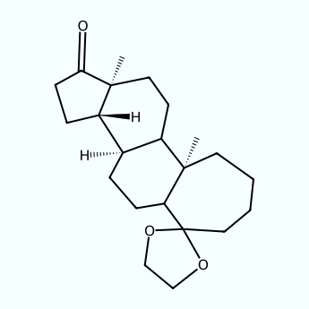 C[C@]12CCCCC3(OCCO3)C1CC[C@@H]1C2CC[C@]2(C)C(=O)CC[C@@H]12